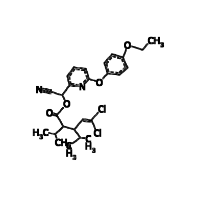 CCOc1ccc(Oc2cccc(C(C#N)OC(=O)C(C(C)C)C(C=C(Cl)Cl)C(C)C)n2)cc1